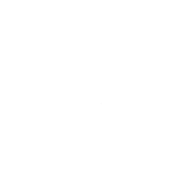 CCC=C(C)C(=O)CCc1ccccc1